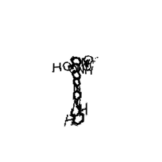 O=C(O)c1cccc([N+](=O)[O-])c1Nc1ccc2c(c1)CN(c1ccc(N3CC[C@@H]4CCCC[C@H]4C3)cc1)C2